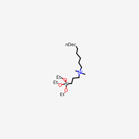 CCCCCCCCCCCCCCC[N+](C)(C)CCC[Si](OCC)(OCC)OCC